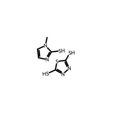 Cn1ccnc1S.Sc1nnc(S)s1